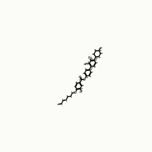 CCCCCCCOc1ccc(C(=O)Oc2ccc(-c3ccc(C4CCC(C)CC4)c(F)c3F)cc2)cc1F